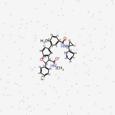 CNC(=O)C1c2cc(-c3cc(C(=O)NC4(c5ccccn5)CC4)ccc3C)ccc2OC1c1ccc(F)cc1